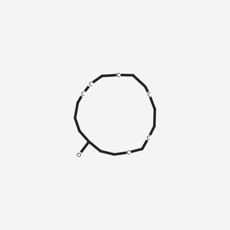 [O]C1CCCCCCCCCCCCCCCCC1